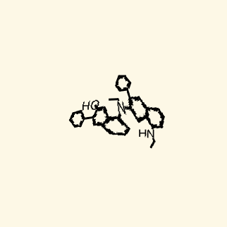 CCNc1cccc2cc(-c3ccccc3)c(N(CC)c3cccc4cc(-c5ccccc5)c(O)cc34)cc12